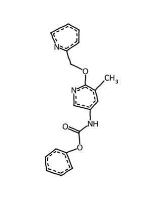 Cc1cc(NC(=O)Oc2ccccc2)cnc1OCc1ccccn1